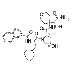 NC(=O)C(O)C1(NC(=O)[C@@H]2C[C@@H](O)CN2C(=O)C(CC2CCCCC2)NC(=O)c2ccc3ccccc3c2)CCOCC1